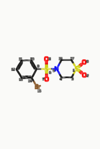 O=S1(=O)CCN(S(=O)(=O)c2ccccc2Br)CC1